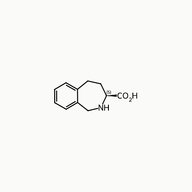 O=C(O)[C@@H]1CCc2ccccc2CN1